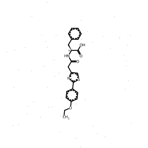 CCOc1ccc(-c2nc(CC(=O)N[C@@H](Cc3ccccc3)C(=O)O)cs2)cc1